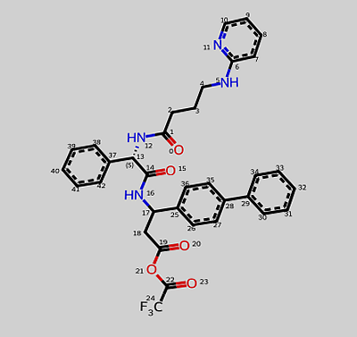 O=C(CCCNc1ccccn1)N[C@H](C(=O)NC(CC(=O)OC(=O)C(F)(F)F)c1ccc(-c2ccccc2)cc1)c1ccccc1